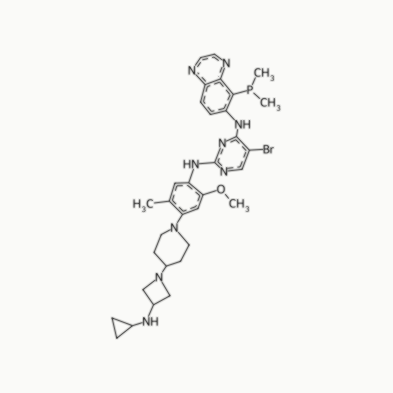 COc1cc(N2CCC(N3CC(NC4CC4)C3)CC2)c(C)cc1Nc1ncc(Br)c(Nc2ccc3nccnc3c2P(C)C)n1